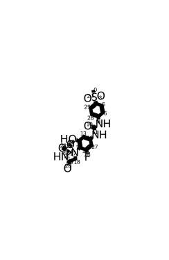 CS(=O)(=O)c1ccc(NC(=O)Nc2cc(O)c(N3CC(=O)NS3(=O)=O)c(F)c2)cc1